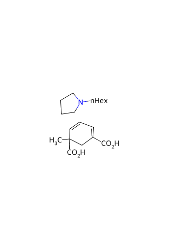 CC1(C(=O)O)C=CC=C(C(=O)O)C1.CCCCCCN1CCCC1